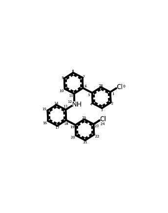 Clc1cccc(-c2ccccc2Nc2ccccc2-c2cccc(Cl)c2)c1